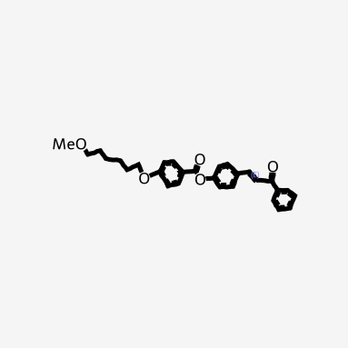 COCCCCCCOc1ccc(C(=O)Oc2ccc(/C=C/C(=O)c3ccccc3)cc2)cc1